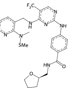 CSN(C)c1ncccc1CNc1nc(Nc2ccc(C(=O)NC[C@H]3CCCO3)cc2)ncc1C(F)(F)F